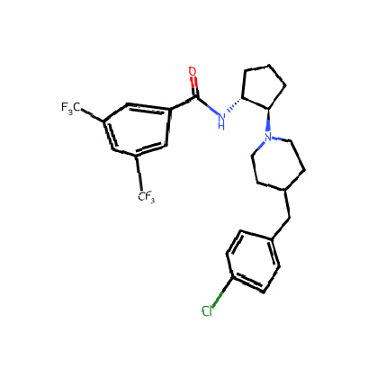 O=C(N[C@@H]1CCC[C@H]1N1CCC(Cc2ccc(Cl)cc2)CC1)c1cc(C(F)(F)F)cc(C(F)(F)F)c1